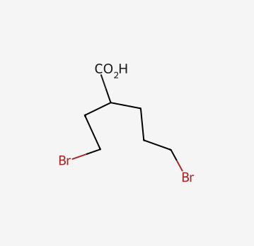 O=C(O)C(CCBr)CCCBr